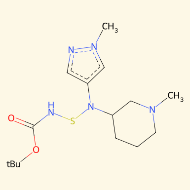 CN1CCCC(N(SNC(=O)OC(C)(C)C)c2cnn(C)c2)C1